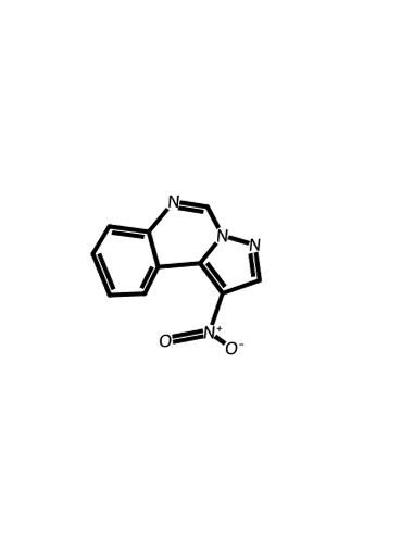 O=[N+]([O-])c1cnn2cnc3ccccc3c12